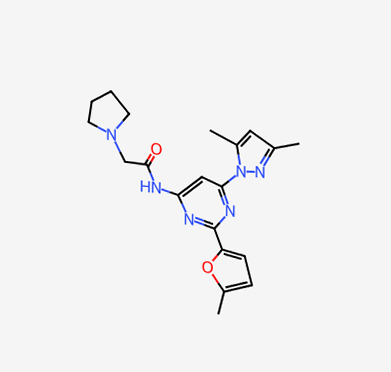 Cc1cc(C)n(-c2cc(NC(=O)CN3CCCC3)nc(-c3ccc(C)o3)n2)n1